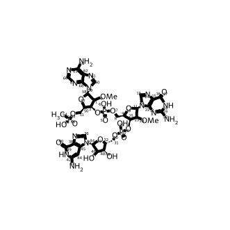 COC1[C@@H](OP(=O)(O)OC[C@H]2O[C@@H](n3cnc4c(=O)[nH]c(N)nc43)C(OC)[C@H]2OP(=O)(O)OC[C@H]2O[C@@H](n3cnc4c(=O)[nH]c(N)cc43)C(O)[C@H]2O)[C@@H](COP(C)(=O)O)O[C@H]1n1cnc2c(N)ncnc21